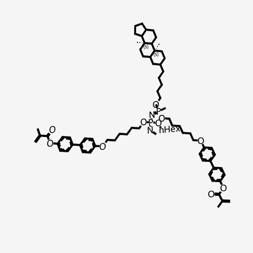 C=C(C)C(=O)Oc1ccc(-c2ccc(OCCCCCCOP(C)(=NP(=NC)(OCCCCCC)OCCCCCCOc3ccc(-c4ccc(OC(=O)C(=C)C)cc4)cc3)OCCCCCC3CC[C@@]4(C)C(CC[C@@]5(C)C6CCCC6CCC45)C3)cc2)cc1